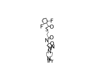 CC(C)N1CCN([n+]2cc([N-]C(=O)CCSC(=O)c3c(F)cccc3F)on2)CC1